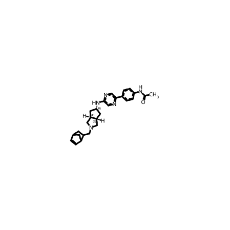 CC(=O)Nc1ccc(-c2cnc(N[C@@H]3C[C@@H]4CN(CC5CC6C=CC5C6)C[C@@H]4C3)cn2)cc1